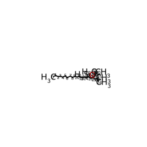 CCCCCCCCCCCCCCCCCC(CC(C)C)(CC(C)C)O[SiH3]